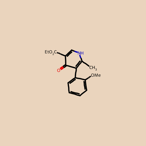 CCOC(=O)c1c[nH]c(C)c(-c2ccccc2OC)c1=O